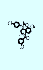 COc1cccc(C(=O)N2c3ccc(OC)cc3[C@@H](N(C(C)=O)c3ccc(Cl)cc3)C[C@H]2C)c1